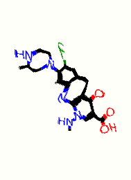 CNn1cc(C(=O)O)c(=O)c2cc3cc(F)c(N4CCNC(C)C4)cc3nc21